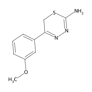 COc1cccc(C2=NN=C(N)SC2)c1